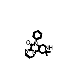 CC1(C)CC2=C(CN1)N(c1ccccc1)C(=O)C1=NC=CCN12